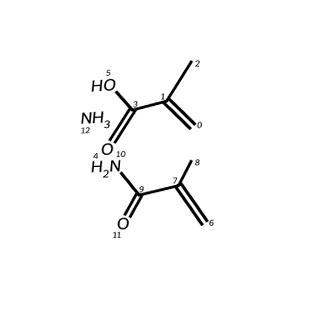 C=C(C)C(=O)O.C=C(C)C(N)=O.N